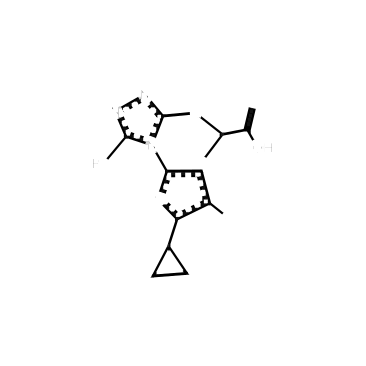 CC(Sc1nnc(Br)n1-c1cc(Cl)c(C2CC2)s1)C(=O)O